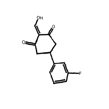 O=C1CC(c2cccc(F)c2)CC(=O)C1=CO